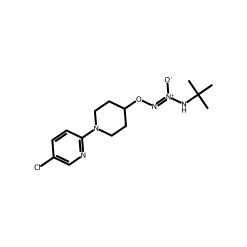 CC(C)(C)N/[N+]([O-])=N/OC1CCN(c2ccc(Cl)cn2)CC1